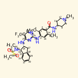 COc1cc(C(=O)NC2CCN(C)CC2)c(C)cc1Nc1ncc(C(F)(F)F)c(N[C@@H]2Cc3ccccc3[C@H]2N(C)S(C)(=O)=O)n1